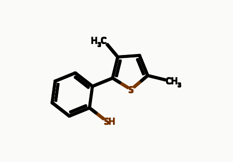 Cc1cc(C)c(-c2ccccc2S)s1